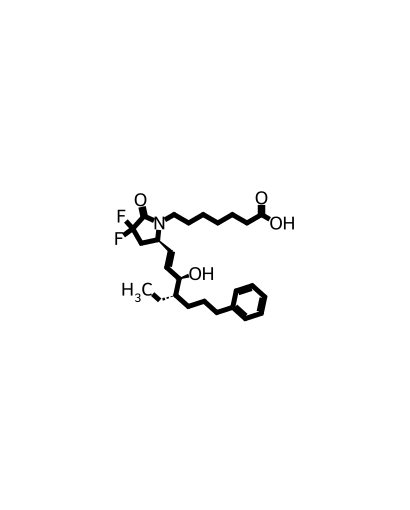 CC[C@@H](CCCc1ccccc1)[C@H](O)/C=C/[C@H]1CC(F)(F)C(=O)N1CCCCCCC(=O)O